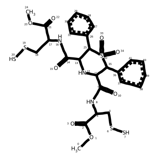 COC(=O)C(CSS)NC(=O)C1NC(C(=O)NC(CSS)C(=O)OC)C(c2ccccc2)S(=O)(=O)C1c1ccccc1